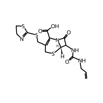 C=CCNC(=O)NC1C(=O)N2C(C(=O)O)=C(CSC3=NCCS3)CS[C@@H]12